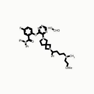 COCCN(C)CCCC(C(C)C)N1CC2(CCN(c3ncnnc3Oc3ccc(F)cc3C(=O)N(C(C)C)C(C)C)C2)C1.O=CO